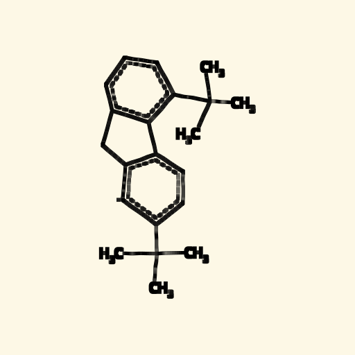 CC(C)(C)c1[c]c2c(cc1)-c1c(cccc1C(C)(C)C)C2